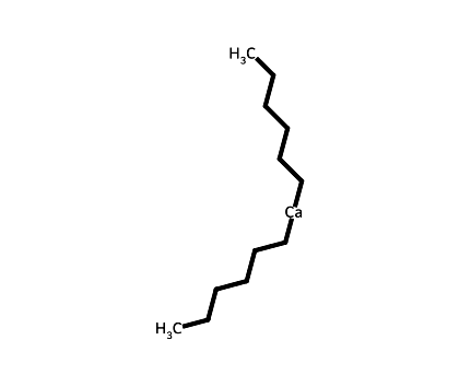 CCCCC[CH2][Ca][CH2]CCCCC